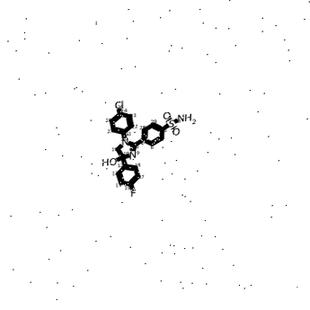 NS(=O)(=O)c1ccc(C2=NC(O)(c3ccc(F)cc3)CN2c2ccc(Cl)cc2)cc1